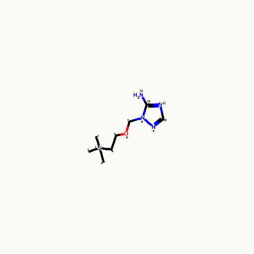 C[Si](C)(C)CCOCn1ncnc1N